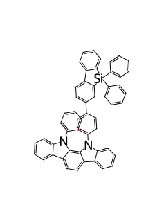 c1ccc(-n2c3ccccc3c3ccc4c5ccccc5n(-c5ccc(-c6ccc7c(c6)[Si](c6ccccc6)(c6ccccc6)c6ccccc6-7)cc5)c4c32)cc1